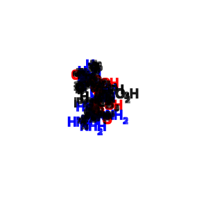 CC(=O)O.CC(C)C[C@H](NC(=O)C(C)(C)NC(=O)[C@H](Cc1ccc(O)cc1)NC(=O)[C@H](CO)NC(=O)[C@H](Cc1c[nH]c2ccccc12)NC(=O)[C@@H](Cc1ccccc1)NC(=O)C1CCC(=O)N1)C(=O)N[C@@H](CCCNC(=N)N)C(=O)N1CCC[C@H]1C(=O)NCC(N)=O